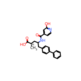 C[C@H](CC(Cc1ccc(-c2ccccc2)cc1)NC(=O)c1ccnc(O)c1)C(=O)O